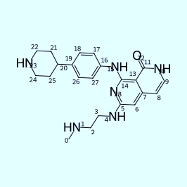 CNCCNc1cc2cc[nH]c(=O)c2c(Nc2ccc(C3CCNCC3)cc2)n1